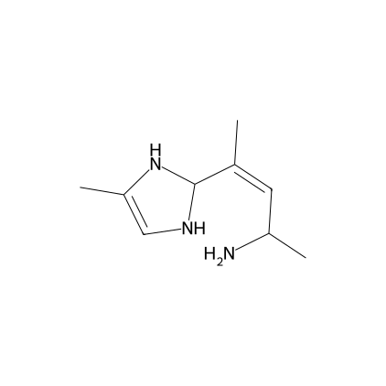 CC1=CNC(/C(C)=C\C(C)N)N1